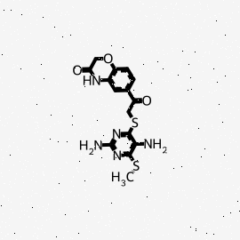 CSc1nc(N)nc(SCC(=O)c2ccc3c(c2)NC(=O)CO3)c1N